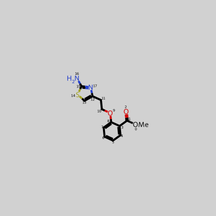 COC(=O)c1ccccc1OCCc1csc(N)n1